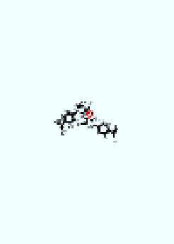 C=CC(C)(CCc1ccc(C(=C)C)cc1)OC(C)(C=C)CCc1ccc(C(=C)C)cc1